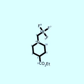 CCOC(=O)C1CCN(C[B-](F)(F)F)CC1